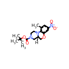 Cc1cc([N+](=O)[O-])cc2c1N1CCN(C(=O)OC(C)(C)C)C[C@H]1CO2